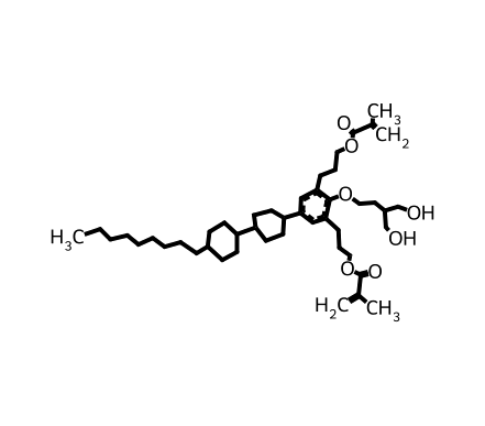 C=C(C)C(=O)OCCCc1cc(C2CCC(C3CCC(CCCCCCCCC)CC3)CC2)cc(CCCOC(=O)C(=C)C)c1OCCC(CO)CO